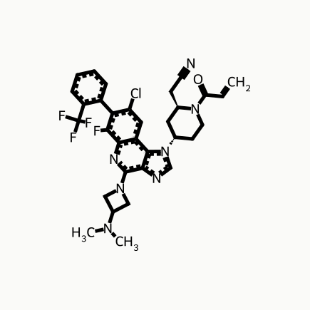 C=CC(=O)N1CC[C@H](n2cnc3c(N4CC(N(C)C)C4)nc4c(F)c(-c5ccccc5C(F)(F)F)c(Cl)cc4c32)C[C@H]1CC#N